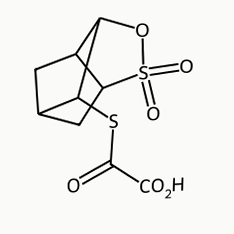 O=C(O)C(=O)SC1C2CC3C1OS(=O)(=O)C3C2